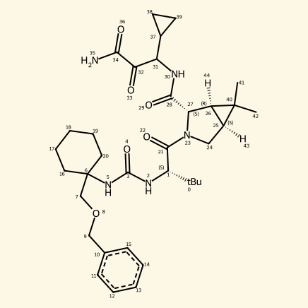 CC(C)(C)[C@H](NC(=O)NC1(COCc2ccccc2)CCCCC1)C(=O)N1C[C@H]2[C@@H]([C@H]1C(=O)NC(C(=O)C(N)=O)C1CC1)C2(C)C